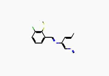 C=N/C=C(\C=C\C(F)(F)F)/N=C/c1cccc(Cl)c1SCCC